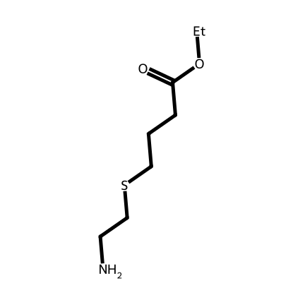 CCOC(=O)CCCSCCN